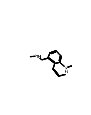 C/C=C\c1c(CNC)cccc1NC